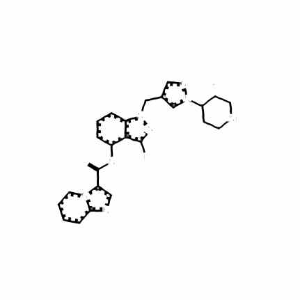 CCc1nn(Cc2cnn(C3CCNC[C@H]3F)c2)c2cccc(NC(=O)c3cnc4ccccn34)c12